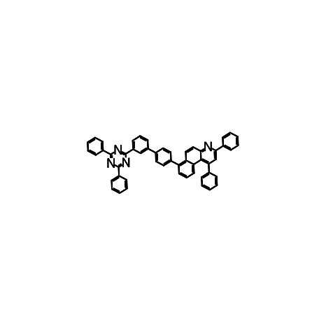 c1ccc(-c2cc(-c3ccccc3)c3c(ccc4c(-c5ccc(-c6cccc(-c7nc(-c8ccccc8)nc(-c8ccccc8)n7)c6)cc5)cccc43)n2)cc1